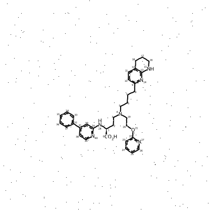 O=C(O)[C@H](CCN(CCCCc1ccc2c(n1)NCCC2)CCOc1ccccn1)Nc1cc(-c2ccccc2)ccn1